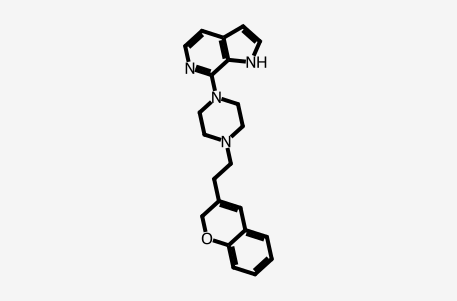 C1=C(CCN2CCN(c3nccc4cc[nH]c34)CC2)COc2ccccc21